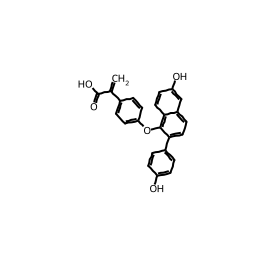 C=C(C(=O)O)c1ccc(Oc2c(-c3ccc(O)cc3)ccc3cc(O)ccc23)cc1